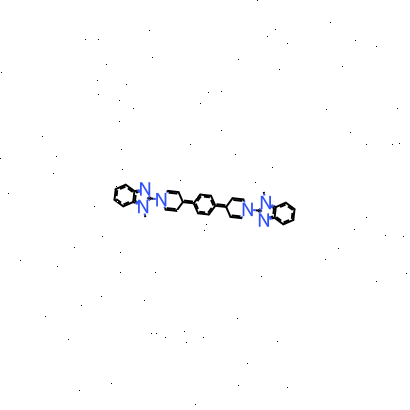 Cn1c(N2C=CC(=c3ccc(=C4C=CN(c5nc6ccccc6n5C)C=C4)cc3)C=C2)nc2ccccc21